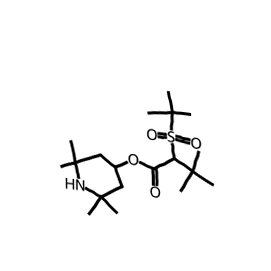 CC1(C)CC(OC(=O)C(C(C)(C)C)S(=O)(=O)C(C)(C)C)CC(C)(C)N1